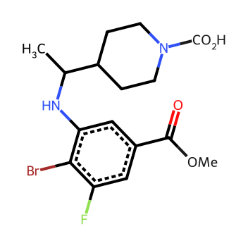 COC(=O)c1cc(F)c(Br)c(NC(C)C2CCN(C(=O)O)CC2)c1